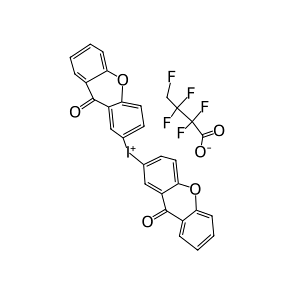 O=C([O-])C(F)(F)C(F)(F)CF.O=c1c2ccccc2oc2ccc([I+]c3ccc4oc5ccccc5c(=O)c4c3)cc12